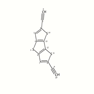 C#Cc1cc2sc3cc(C#C)sc3c2s1